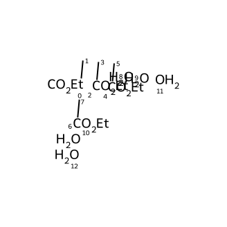 CCOC(C)=O.CCOC(C)=O.CCOC(C)=O.CCOC(C)=O.O.O.O.O.O